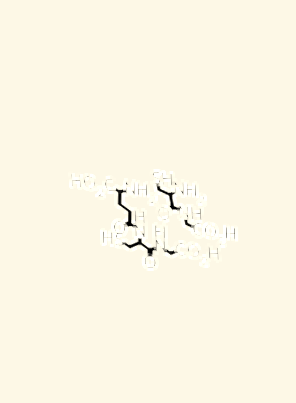 NC(CCC(=O)NC(CS)C(=O)NCC(=O)O)C(=O)O.NC(CS)C(=O)NCC(=O)O